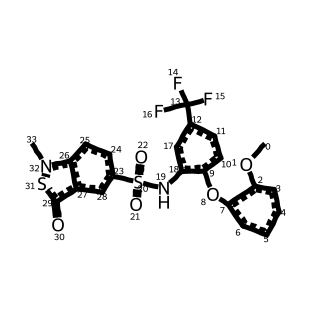 COc1ccccc1Oc1ccc(C(F)(F)F)cc1NS(=O)(=O)c1ccc2c(c1)c(=O)sn2C